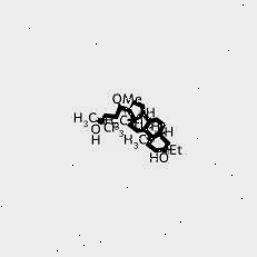 CC[C@]1(O)CC[C@@]2(C)[C@H](CC[C@@H]3[C@@H]2CC[C@]2(C)[C@@H]([C@@H](CC[C@](C)(O)C(F)(F)F)OC)CC[C@@H]32)C1